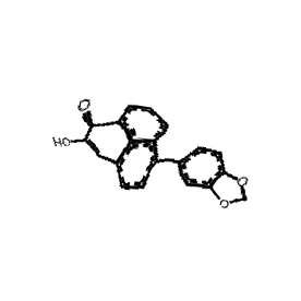 O=C1C(O)=Cc2ccc(-c3ccc4c(c3)OCO4)c3cccc1c23